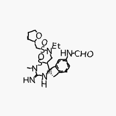 CCN(CC1SN(C)C(=N)N[C@@]12Cc1ccc(NC=O)cc12)S(=O)(=O)CC1CCCO1